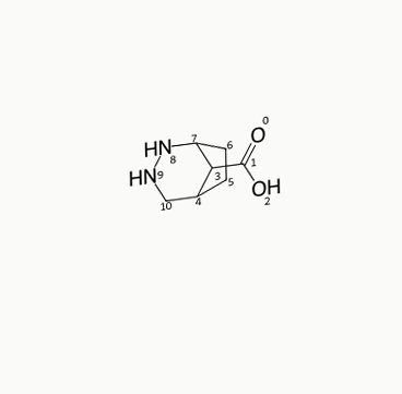 O=C(O)C1C2CCC1NNC2